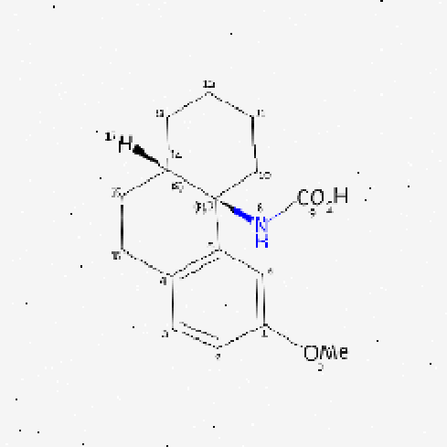 COc1ccc2c(c1)[C@@]1(NC(=O)O)CCCC[C@H]1CC2